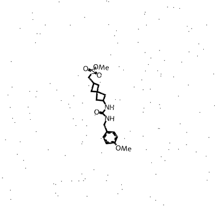 COc1ccc(CNC(=O)NC2CC3(CC(CS(=O)(=O)OC)C3)C2)cc1